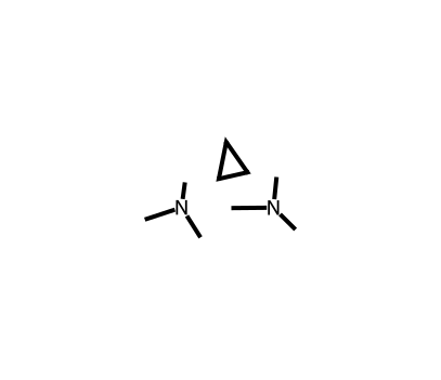 C1CC1.CN(C)C.CN(C)C